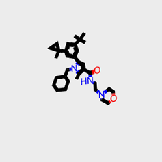 Cc1c(C(=O)NCCN2CCOCC2)cc(-c2cc(C(C)(C)C)cc(C3(C)CC3)c2)n1CC1CCCCC1